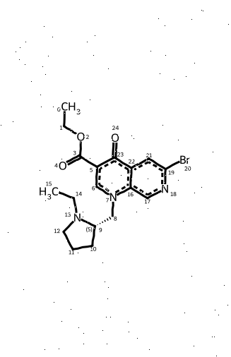 CCOC(=O)c1cn(C[C@@H]2CCCN2CC)c2cnc(Br)cc2c1=O